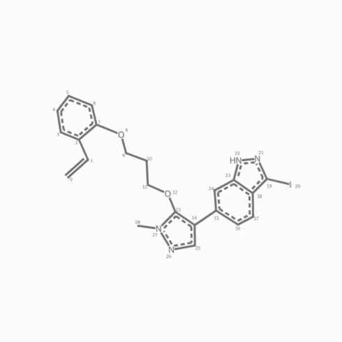 C=Cc1ccccc1OCCCOc1c(-c2ccc3c(I)n[nH]c3c2)cnn1C